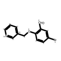 O=Cc1cc(Br)ccc1OCc1cccnc1